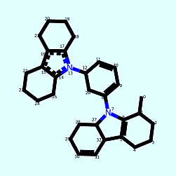 CC1CCCC2=C1N(C1=CC=CC(n3c4c(c5c3CCCC5)CCCC4)C1)C1CCC=CC21